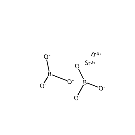 [O-]B([O-])[O-].[O-]B([O-])[O-].[Sr+2].[Zr+4]